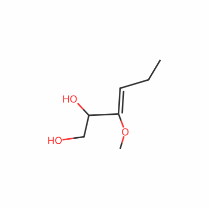 CCC=C(OC)C(O)CO